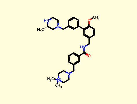 COc1ccc(CNC(=O)c2cccc(CN3CC[N+](C)(C)CC3)c2)cc1-c1cccc(CN2CCN[C@@H](C)C2)c1